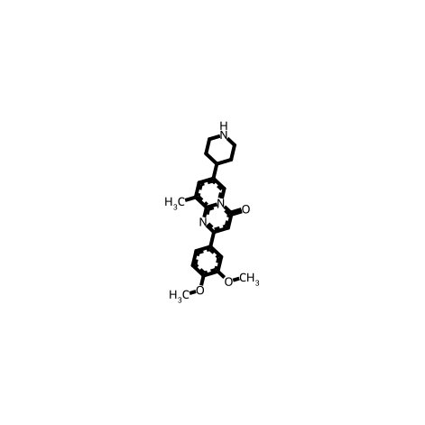 COc1ccc(-c2cc(=O)n3cc(C4CCNCC4)cc(C)c3n2)cc1OC